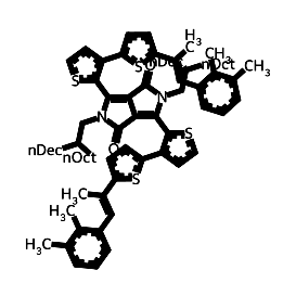 CCCCCCCCCCC(CCCCCCCC)CN1C(=O)C2=C(c3sccc3-c3ccc(C(C)=Cc4cccc(C)c4C)s3)N(CC(CCCCCCCC)CCCCCCCCCC)C(=O)C2=C1c1sccc1-c1ccc(C(C)=Cc2cccc(C)c2C)s1